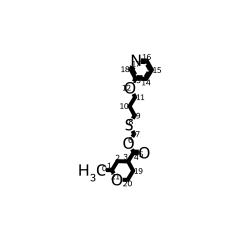 CC1CC(C(=O)OCSCCCOc2cccnc2)CCO1